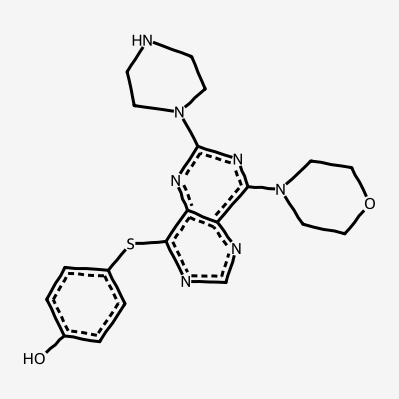 Oc1ccc(Sc2ncnc3c(N4CCOCC4)nc(N4CCNCC4)nc23)cc1